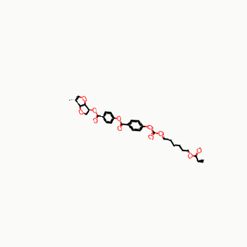 C=CC(=O)OCCCCCCOC(=O)Oc1ccc(C(=O)Oc2ccc(C(=O)O[C@H]3COC4C3OC[C@H]4C)cc2)cc1